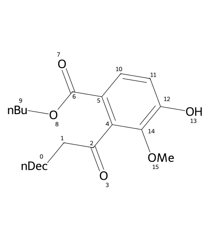 CCCCCCCCCCCC(=O)c1c(C(=O)OCCCC)ccc(O)c1OC